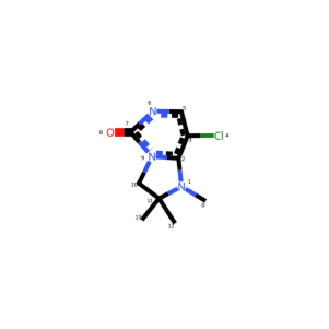 CN1c2c(Cl)cnc(=O)n2CC1(C)C